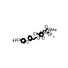 COC(=O)[C@H](Cc1cc(Cl)c(OCCc2cccc(Oc3ccc(O)cc3)c2)c(Cl)c1)NC(=O)C(F)(F)F